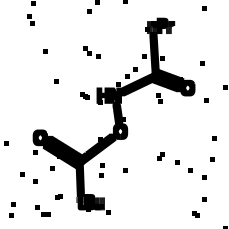 CCCC(=O)NOC(=O)C(C)(C)C